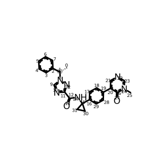 C[C@@H](c1ccccc1)n1cnc(C(=O)NC2(c3ccc(-c4cncn(C)c4=O)cc3)CC2)n1